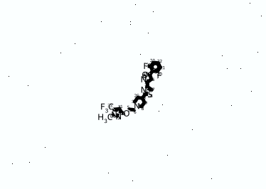 Cn1nc(OCCN2CCC(c3nc(C4=NOC(c5c(F)cccc5F)C4)cs3)CC2)cc1C(F)(F)F